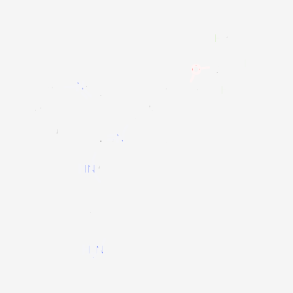 NCCCNc1nc(-c2cccc(OC(F)(F)F)c2)cc2ncccc12